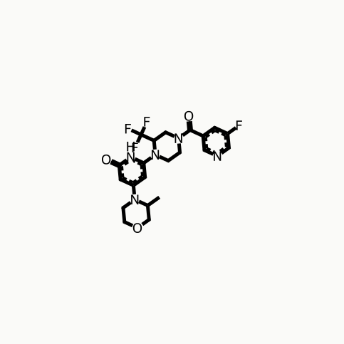 CC1COCCN1c1cc(N2CCN(C(=O)c3cncc(F)c3)CC2C(F)(F)F)[nH]c(=O)c1